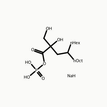 CCCCCCCCC(CCCCCC)CC(O)(CO)C(=O)OP(=O)(O)O.[NaH]